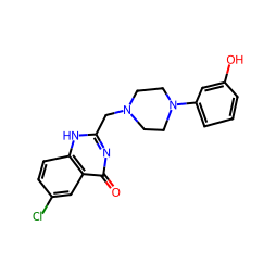 O=c1nc(CN2CCN(c3cccc(O)c3)CC2)[nH]c2ccc(Cl)cc12